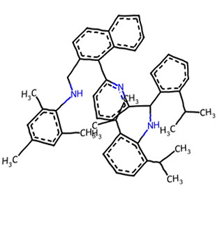 Cc1cc(C)c(NCc2ccc3ccccc3c2-c2cccc(C(Nc3c(C(C)C)cccc3C(C)C)c3ccccc3C(C)C)n2)c(C)c1